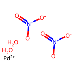 O.O.O=[N+]([O-])[O-].O=[N+]([O-])[O-].[Pd+2]